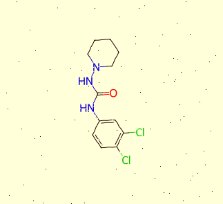 O=C(Nc1ccc(Cl)c(Cl)c1)NN1CCCCC1